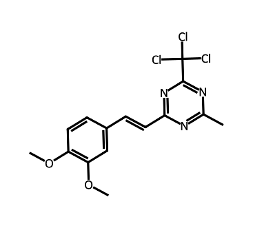 COc1ccc(C=Cc2nc(C)nc(C(Cl)(Cl)Cl)n2)cc1OC